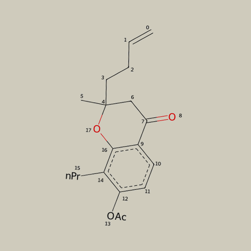 C=CCCC1(C)CC(=O)c2ccc(OC(C)=O)c(CCC)c2O1